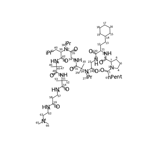 CCCCCC(=O)N1CCCC1C(=O)NC(CCC1CCCCC1)C(=O)NCC(=O)N(C(C)C)C(C)(C)C(=O)NCC(=O)N(C(C)C)C(CC(C)C)C(=O)NC(C)(C)C(=O)NC(C)(C)C(=O)NCCC(=O)NCCN(C)C